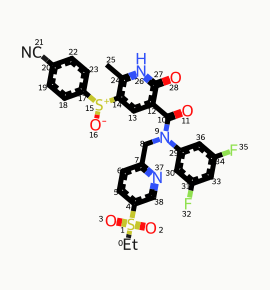 CCS(=O)(=O)c1ccc(CN(C(=O)c2cc([S+]([O-])c3ccc(C#N)cc3)c(C)[nH]c2=O)c2cc(F)cc(F)c2)nc1